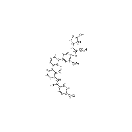 COc1cc(-c2nccc(-c3cccc(NC(=O)c4ccc(C=O)cn4)c3Cl)c2Cl)ccc1CN(CC1CCC(=O)N1)C(=O)O